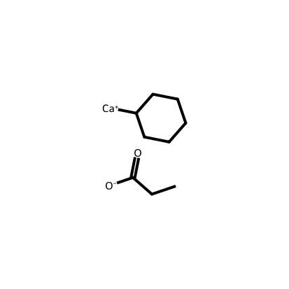 CCC(=O)[O-].[Ca+][CH]1CCCCC1